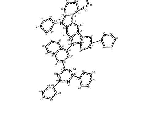 c1ccc(-c2ccc3c(c2)c2cc4c5c6ccccc6ccc5n(-c5ccccc5)c4cc2n3-c2cc(-c3nc(-c4ccccc4)nc(-c4ccccc4)n3)cc3ccccc23)cc1